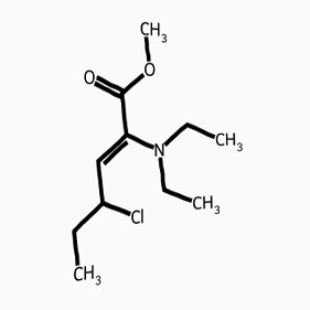 CCC(Cl)C=C(C(=O)OC)N(CC)CC